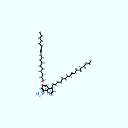 CCCCCCCCCCCCCCCCCCOc1cc(N)c2nccc(CCCCCCCCCCCCCCCCC)c2c1